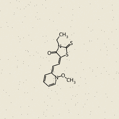 CCN1C(=O)C(=CC=C2C=CC=CN2OC)SC1=S